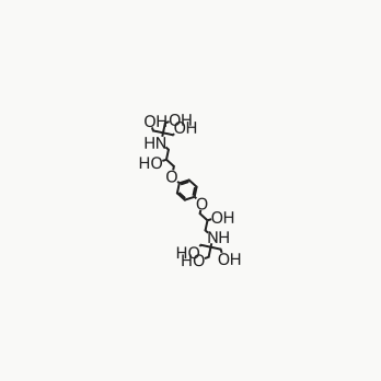 OCC(CO)(CO)NCC(O)COc1ccc(OCC(O)CNC(CO)(CO)CO)cc1